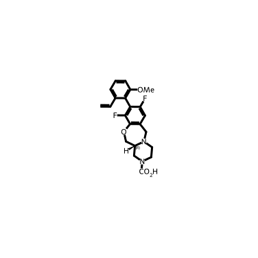 C=Cc1cccc(OC)c1-c1c(F)cc2c(c1F)OC[C@H]1CN(C(=O)O)CCN1C2